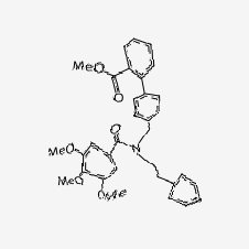 COC(=O)c1ccccc1-c1ccc(CN(CCCc2ccccc2)C(=O)c2cc(OC)c(OC)c(OC)c2)cc1